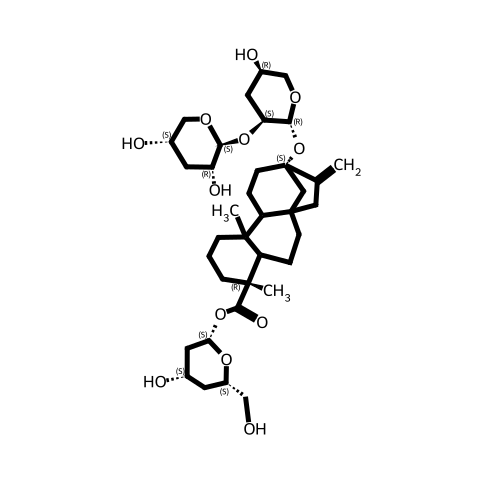 C=C1CC23CCC4C(C)(CCC[C@@]4(C)C(=O)O[C@H]4C[C@@H](O)C[C@@H](CO)O4)C2CC[C@]1(O[C@H]1OC[C@H](O)C[C@@H]1O[C@@H]1OC[C@@H](O)C[C@H]1O)C3